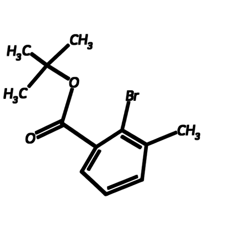 Cc1cccc(C(=O)OC(C)(C)C)c1Br